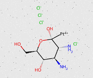 N[C@H]1[C@H](O)[C@@H](CO)O[C@@](O)([Pt+4])[C@@H]1N.[Cl-].[Cl-].[Cl-].[Cl-]